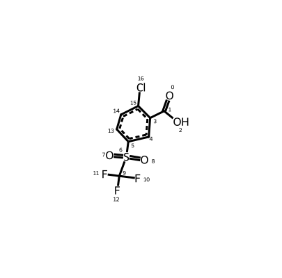 O=C(O)c1cc(S(=O)(=O)C(F)(F)F)ccc1Cl